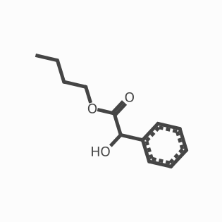 CCCCOC(=O)C(O)c1ccccc1